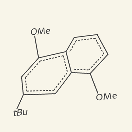 COc1cc(C(C)(C)C)cc2c(OC)cccc12